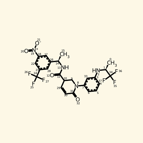 C[C@H](Nc1cccc(N2CC(C(=O)N[C@H](C)c3cc([N+](=O)[O-])cc(C(F)(F)F)c3)C=CC2=O)c1)C(F)(F)F